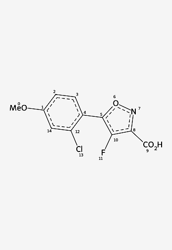 COc1ccc(-c2onc(C(=O)O)c2F)c(Cl)c1